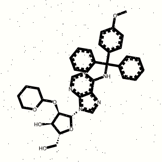 COc1ccc(C(Nc2ncnc3c2ncn3[C@@H]2O[C@H](CO)[C@@H](O)[C@H]2OC2CCCCO2)(c2ccccc2)c2ccccc2)cc1